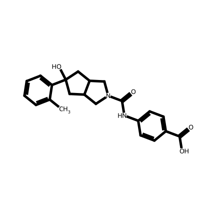 Cc1ccccc1C1(O)CC2CN(C(=O)Nc3ccc(C(=O)O)cc3)CC2C1